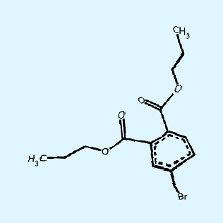 CCCOC(=O)c1ccc(Br)cc1C(=O)OCCC